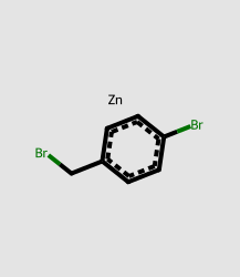 BrCc1ccc(Br)cc1.[Zn]